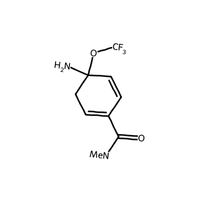 CNC(=O)C1=CCC(N)(OC(F)(F)F)C=C1